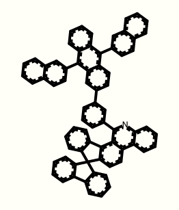 c1cc(-c2ccc3c(-c4ccc5ccccc5c4)c4ccccc4c(-c4ccc5ccccc5c4)c3c2)cc(-c2nc3ccccc3c3ccc4c(c23)-c2ccccc2C42c3ccccc3-c3ccccc32)c1